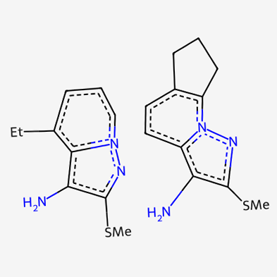 CCc1cccn2nc(SC)c(N)c12.CSc1nn2c3c(ccc2c1N)CCC3